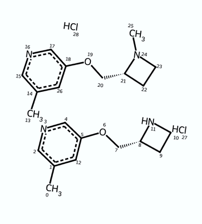 Cc1cncc(OC[C@H]2CCN2)c1.Cc1cncc(OC[C@H]2CCN2C)c1.Cl.Cl